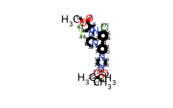 CCOC(=O)c1cnn(C2CCCN(c3cc(N4CCN(C(=O)OC(C)(C)C)CC4)ccc3-c3ccc(Cl)cc3)C2)c1C(F)F